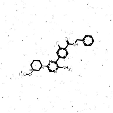 CO[C@H]1CCC[C@@H](c2cnc(N)c(-c3ccc(C(=O)NCc4ccccc4)c(F)c3)n2)C1